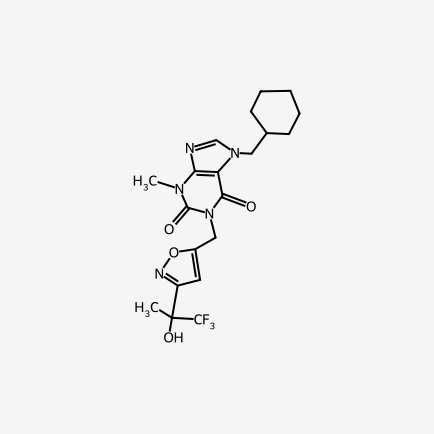 Cn1c(=O)n(Cc2cc(C(C)(O)C(F)(F)F)no2)c(=O)c2c1ncn2CC1CCCCC1